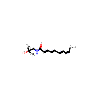 CCCCC\C=C/C=C/C=C/C=C/C(=O)NCC(C)(C)O